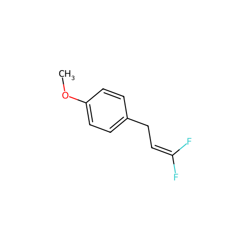 COc1ccc(CC=C(F)F)cc1